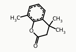 Cc1cccc2c1OC(=O)CC2(C)C